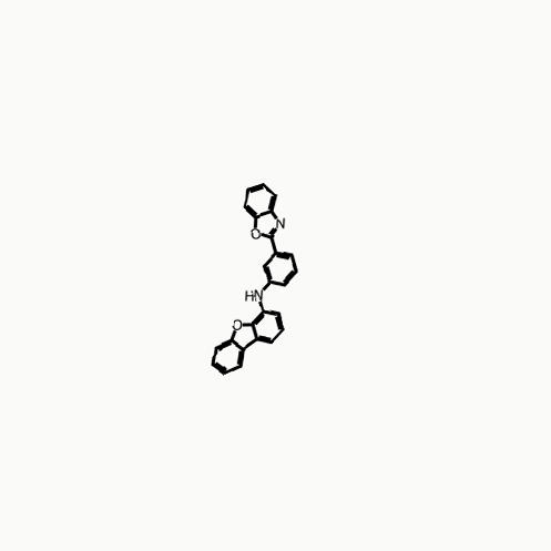 c1cc(Nc2cccc3c2oc2ccccc23)cc(-c2nc3ccccc3o2)c1